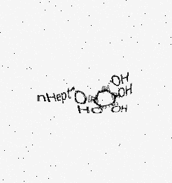 CCCCCCCCO[C@@H]1C[C@H](CO)[C@@H](O)[C@H](O)[C@H]1O